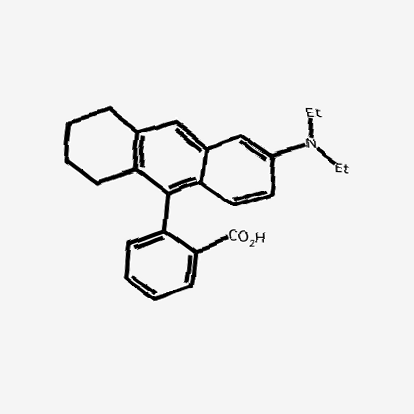 CCN(CC)c1ccc2c(-c3ccccc3C(=O)O)c3c(cc2c1)CCCC3